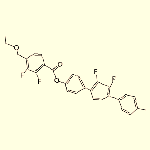 CCOCc1ccc(C(=O)Oc2ccc(-c3ccc(-c4ccc(C)cc4)c(F)c3F)cc2)c(F)c1F